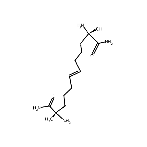 C[C@](N)(CCC/C=C/CCC[C@](C)(N)C(N)=O)C(N)=O